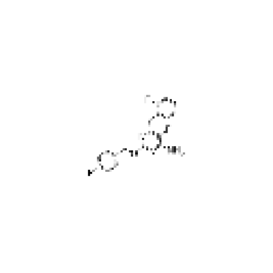 Nc1nc(OCc2ccc(F)cc2)nc(Cc2ccccc2F)c1F